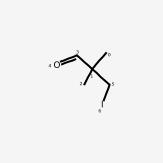 CC(C)(C=O)CI